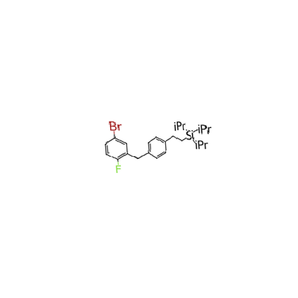 CC(C)[Si](CCc1ccc(Cc2cc(Br)ccc2F)cc1)(C(C)C)C(C)C